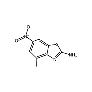 Cc1cc([N+](=O)[O-])cc2sc(N)nc12